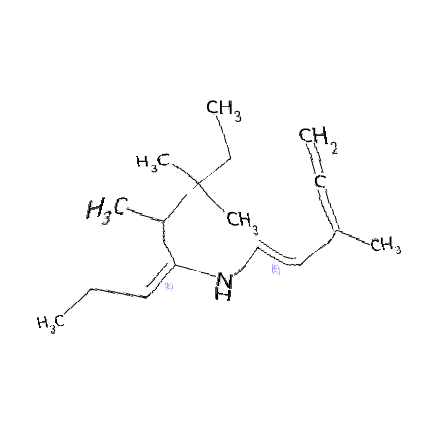 C=C=C(C)/C=C/N/C(=C/CC)C(C)C(C)(C)CC